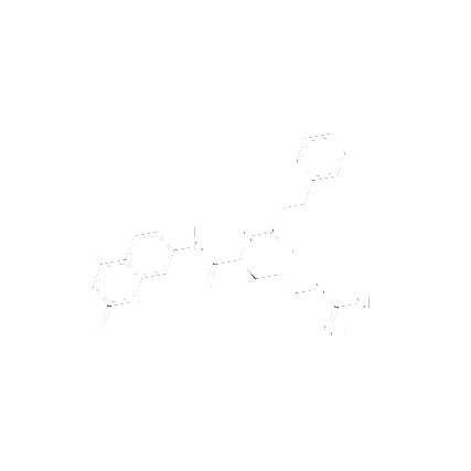 Cc1cc(=O)oc2cc(NC(=O)[C@H](CCCNC(=N)N)NC(=O)OCc3ccccc3)ccc12